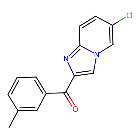 Cc1cccc(C(=O)c2cn3cc(Cl)ccc3n2)c1